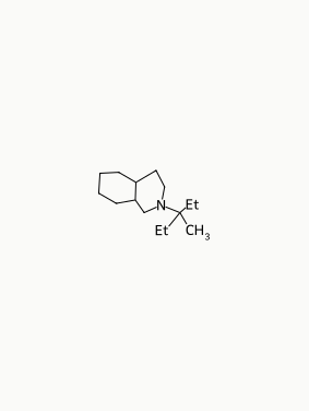 CCC(C)(CC)N1CCC2CCCCC2C1